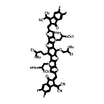 CCCCCCCCC(CCCCCC)Cn1c2c(c3sc4c(CCC(CC)CCCC)c5c(sc6c7sc(/C=C8\C(=O)c9cc(F)c(F)cc9C8=C(C#N)C#N)cc7n(CC(CCCCCC)CCCCCCCC)c65)c(OCC(CC)CCCC)c4c31)SC(/C=C1\C(=O)c3cc(F)c(F)cc3C1=C(C#N)C#N)C2